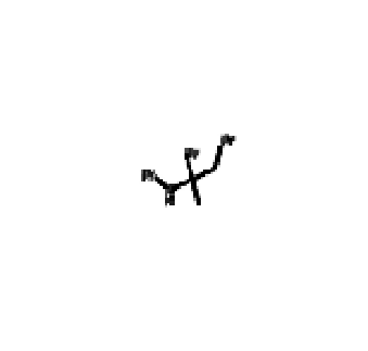 CC(C)CC(C)(NC(C)C)C(C)C